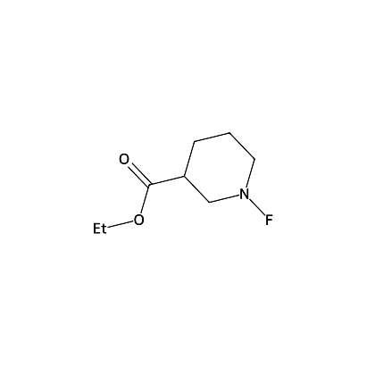 CCOC(=O)C1CCCN(F)C1